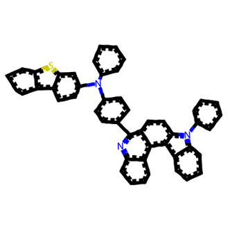 c1ccc(N(c2ccc(-c3nc4ccccc4c4c3ccc3c4c4ccccc4n3-c3ccccc3)cc2)c2ccc3c(c2)sc2ccccc23)cc1